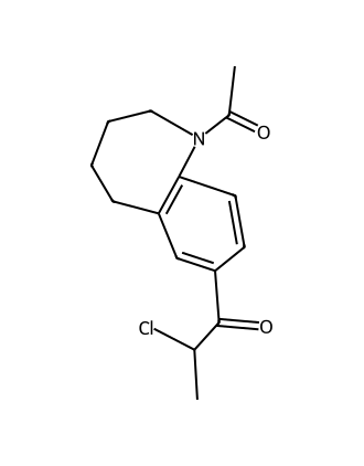 CC(=O)N1CCCCc2cc(C(=O)C(C)Cl)ccc21